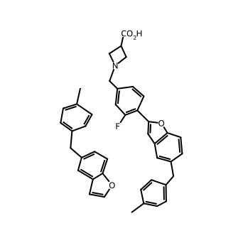 Cc1ccc(Cc2ccc3oc(-c4ccc(CN5CC(C(=O)O)C5)cc4F)cc3c2)cc1.Cc1ccc(Cc2ccc3occc3c2)cc1